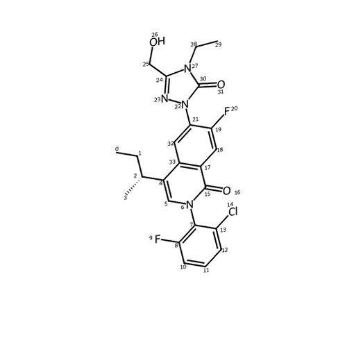 CC[C@@H](C)c1cn(-c2c(F)cccc2Cl)c(=O)c2cc(F)c(-n3nc(CO)n(CC)c3=O)cc12